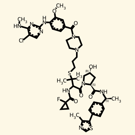 CNc1nc(Nc2ccc(C(=O)N3CCN(CCCSC(C)(C)C(NC(=O)C4(F)CC4)C(=O)N4C[C@H](O)C[C@H]4C(=O)N[C@@H](C)c4ccc(-c5scnc5C)cc4)CC3)cc2OC)ncc1Cl